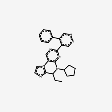 CCC1c2nncn2-c2cnc(-c3cnncc3-c3ccccc3)nc2N1C1CCCC1